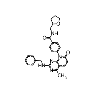 Cc1nc(NCc2ccccc2)nc2c1ccc(=O)n2-c1ccc(C(=O)NCC2CCCO2)cc1